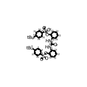 CC(C)(C)c1ccc(S(=O)(=O)Oc2ccccc2NC(=O)Nc2ccccc2OS(=O)(=O)c2ccc(C(C)(C)C)cc2)cc1